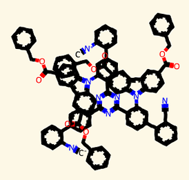 [C-]#[N+]c1ccccc1-c1ccc(-c2nc(-c3ccc(-c4ccccc4C#N)cc3-n3c4ccc(C(=O)OCc5ccccc5)cc4c4cc(C(=O)OCc5ccccc5)ccc43)nc(-c3ccc(-c4ccccc4[N+]#[C-])cc3-n3c4ccc(C(=O)OCc5ccccc5)cc4c4cc(C(=O)OCc5ccccc5)ccc43)n2)cc1